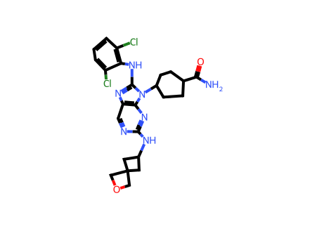 NC(=O)C1CCC(n2c(Nc3c(Cl)cccc3Cl)nc3cnc(NC4CC5(COC5)C4)nc32)CC1